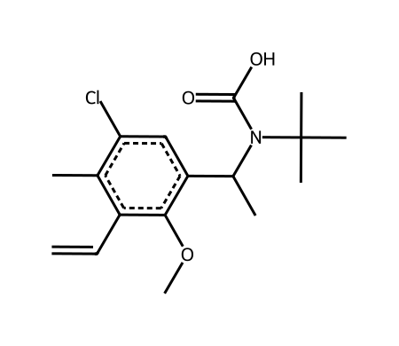 C=Cc1c(C)c(Cl)cc(C(C)N(C(=O)O)C(C)(C)C)c1OC